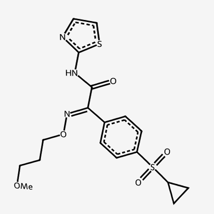 COCCCO/N=C(/C(=O)Nc1nccs1)c1ccc(S(=O)(=O)C2CC2)cc1